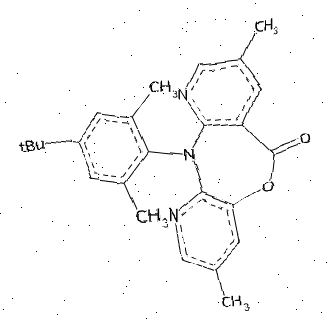 Cc1cnc2c(c1)OC(=O)c1cc(C)cnc1N2c1c(C)cc(C(C)(C)C)cc1C